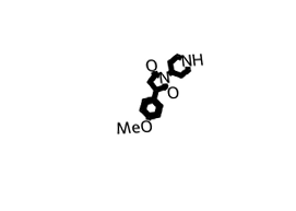 COc1ccc(C2CC(=O)N(C3CCNCC3)C2=O)cc1